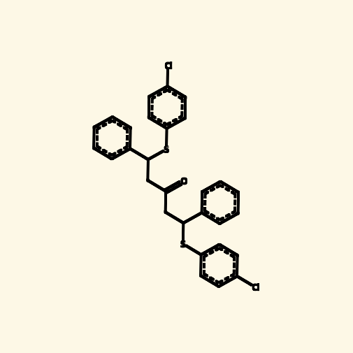 O=C(CC(Sc1ccc(Cl)cc1)c1ccccc1)CC(Sc1ccc(Cl)cc1)c1ccccc1